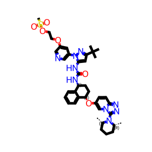 C[C@@H]1CCC[C@H](C)N1c1nnc2ccc(O[C@@H]3CC[C@H](NC(=O)Nc4cc(C(C)(C)C)nn4-c4cncc(OCCOS(C)(=O)=O)c4)c4ccccc43)cn12